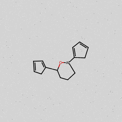 C1=CCC(C2CC[CH2][Al]([C]3=CC=CC3)[O]2)=C1